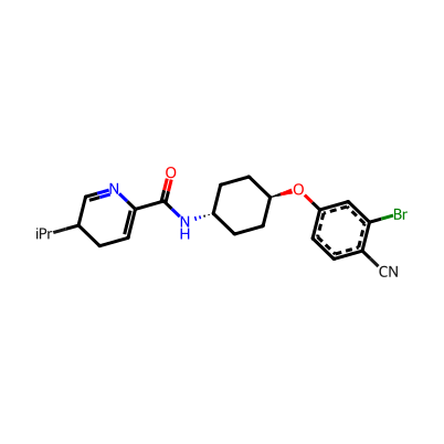 CC(C)C1C=NC(C(=O)N[C@H]2CC[C@H](Oc3ccc(C#N)c(Br)c3)CC2)=CC1